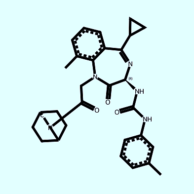 Cc1cccc(NC(=O)N[C@@H]2N=C(C3CC3)c3cccc(C)c3N(CC(=O)N3CC4CCC(CC4)C3)C2=O)c1